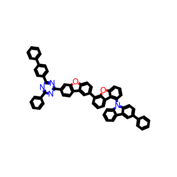 c1ccc(-c2ccc(-c3nc(-c4ccccc4)nc(-c4ccc5c(c4)oc4ccc(-c6cccc7c6oc6cccc(-n8c9ccccc9c9cc(-c%10ccccc%10)ccc98)c67)cc45)n3)cc2)cc1